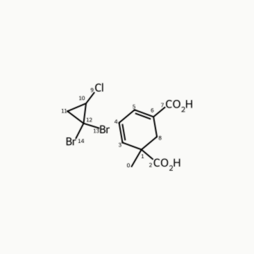 CC1(C(=O)O)C=CC=C(C(=O)O)C1.ClC1CC1(Br)Br